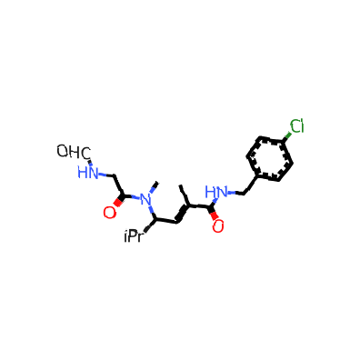 C/C(=C\C(C(C)C)N(C)C(=O)CNC=O)C(=O)NCc1ccc(Cl)cc1